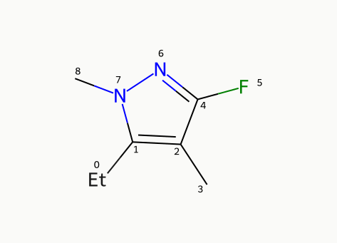 CCc1c(C)c(F)nn1C